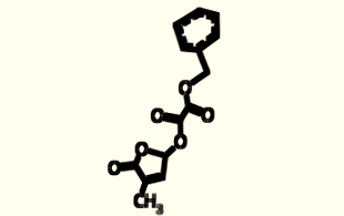 CC1=CC(OC(=O)C(=O)OCc2ccccc2)OC1=O